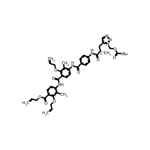 C=CCOC(=O)c1ccc(NC(=O)c2ccc(NC(=O)c3ccc(NC(=O)[C@@H](C)Cc4cnnn4COC(=O)C(C)(C)C)cc3)c(C)c2OCC=C)c(C)c1OCC=C